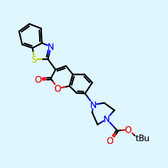 CC(C)(C)OC(=O)N1CCN(c2ccc3cc(-c4nc5ccccc5s4)c(=O)oc3c2)CC1